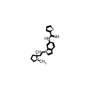 CN1CCC[C@@]1(C)CCn1ccc2ccc(NC(=N)c3cccs3)cc21